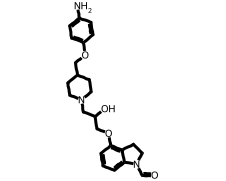 Nc1ccc(OCC2CCN(CC(O)COc3cccc4c3CCN4C=O)CC2)cc1